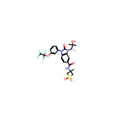 C[C@H](n1c(=O)n(-c2cccc(OC(F)(F)C(F)F)c2)c2ccc(C(=O)NC3(C)CS(=O)(=O)C3)cc21)C(C)(C)O